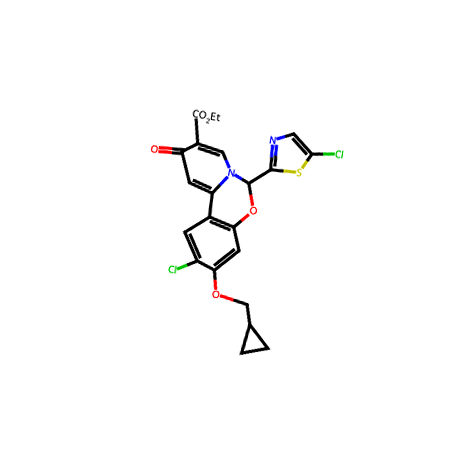 CCOC(=O)c1cn2c(cc1=O)-c1cc(Cl)c(OCC3CC3)cc1OC2c1ncc(Cl)s1